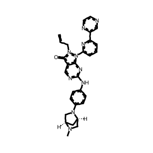 C=CCn1c(=O)c2cnc(Nc3ccc(N4C[C@H]5C[C@@H]4CN5C)cc3)nc2n1-c1cccc(-c2cnccn2)n1